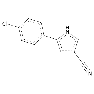 N#Cc1c[nH]c(-c2ccc(Cl)cc2)c1